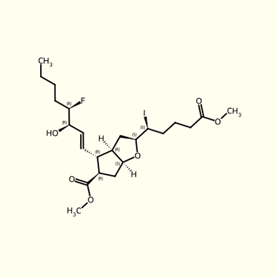 CCCC[C@@H](F)[C@H](O)C=C[C@@H]1[C@H]2C[C@@H]([C@@H](I)CCCC(=O)OC)O[C@H]2C[C@H]1C(=O)OC